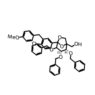 COc1ccc(Cc2cc(C34OCC(CO)(O3)[C@H](OCc3ccccc3)[C@H](OCc3ccccc3)C4OCc3ccccc3)ccc2Cl)cc1